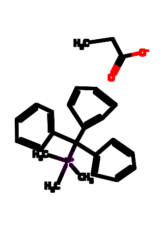 CCC(=O)[O-].C[P+](C)(C)C(c1ccccc1)(c1ccccc1)c1ccccc1